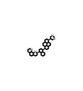 c1cnc2c(c1)ccc1ccc(-c3ccc(-c4ccc5ccc6c(-c7cncnc7)ccc7ccc4c5c76)c4ccccc34)nc12